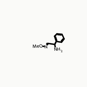 CON=CC(N)c1ccccc1